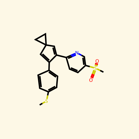 CSc1ccc(C2=CC3(C=C2c2ccc(S(C)(=O)=O)cn2)CC3)cc1